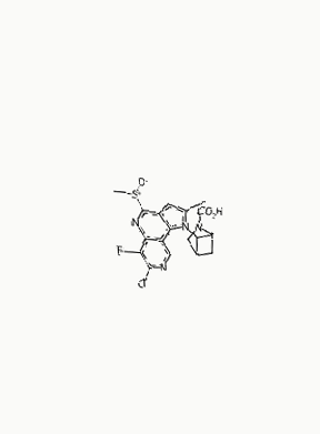 Cc1cc2c([S+](C)[O-])nc3c(F)c(Cl)ncc3c2n1C1C2CC1N(C(=O)O)C2